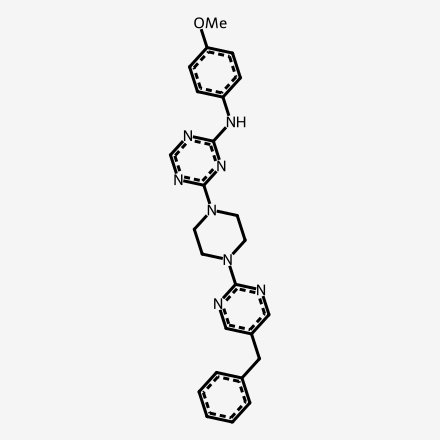 COc1ccc(Nc2ncnc(N3CCN(c4ncc(Cc5ccccc5)cn4)CC3)n2)cc1